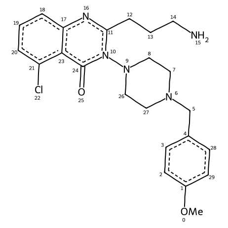 COc1ccc(CN2CCN(n3c(CCCN)nc4cccc(Cl)c4c3=O)CC2)cc1